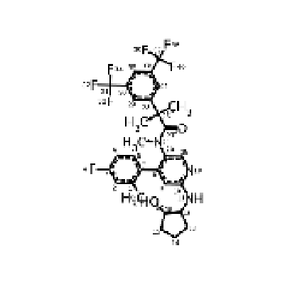 Cc1cc(F)ccc1-c1cc(NC2CCCC2O)ncc1N(C)C(=O)C(C)(C)c1cc(C(F)(F)F)cc(C(F)(F)F)c1